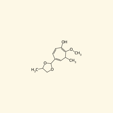 COC1=C(O)C=CC(C2OCC(C)O2)=CC1C